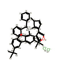 CC1C=CC(c2ccoc2)=[C]1[Zr+2](=[C](c1ccccc1)c1ccccc1)[c]1cc(C(C)(C)C)cc2c1Cc1ccc(C(C)(C)C)cc1-2.[Cl-].[Cl-]